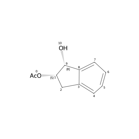 CC(=O)O[C@H]1Cc2ccccc2[C@H]1O